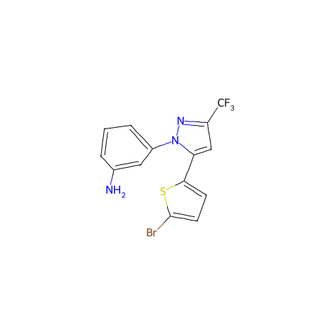 Nc1cccc(-n2nc(C(F)(F)F)cc2-c2ccc(Br)s2)c1